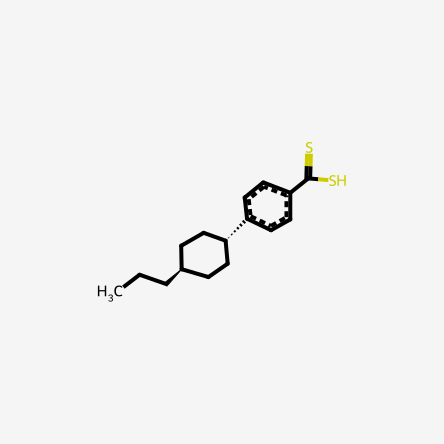 CCC[C@H]1CC[C@H](c2ccc(C(=S)S)cc2)CC1